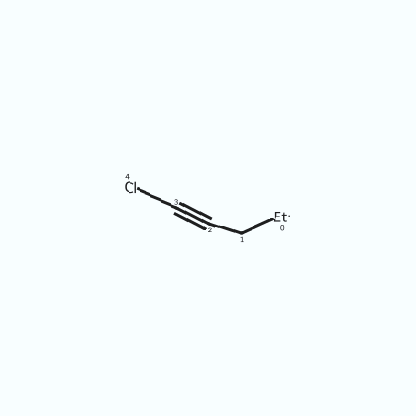 C[CH]CC#CCl